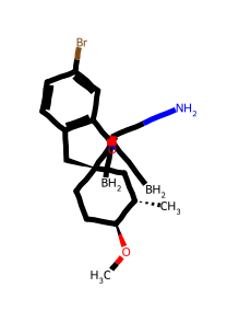 BC1(B)OC(N)=N[C@]12c1cc(Br)ccc1C[C@@]21CC[C@H](OC)[C@@H](C)C1